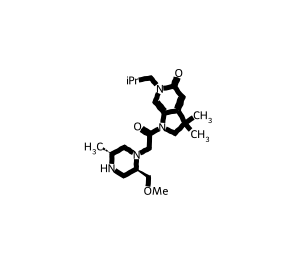 COC[C@H]1CN[C@H](C)CN1CC(=O)N1CC(C)(C)c2cc(=O)n(CC(C)C)cc21